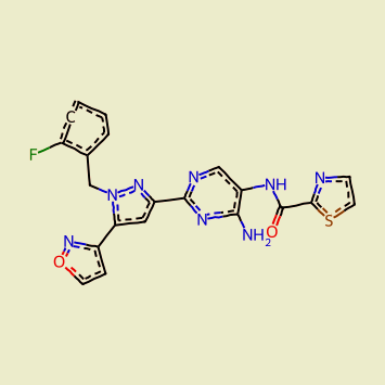 Nc1nc(-c2cc(-c3ccon3)n(Cc3ccccc3F)n2)ncc1NC(=O)c1nccs1